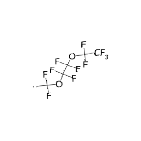 [CH2]C(F)(F)OC(F)(F)C(F)(F)OC(F)(F)C(F)(F)F